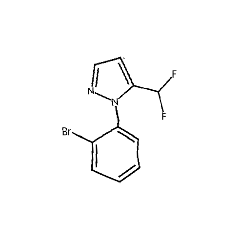 FC(F)c1[c]cnn1-c1ccccc1Br